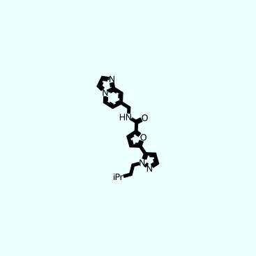 CC(C)CCn1nccc1-c1ccc(C(=O)NCc2ccn3ccnc3c2)o1